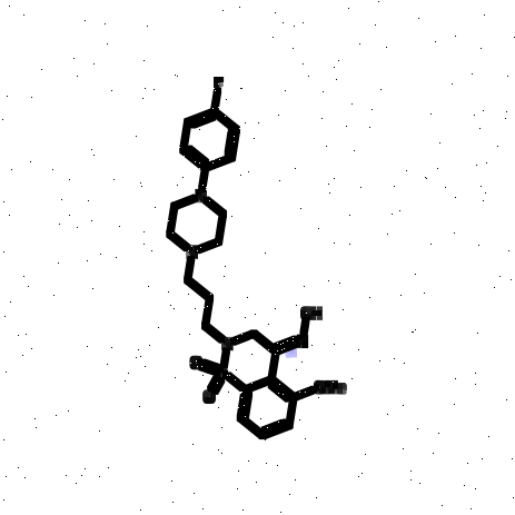 COc1cccc2c1/C(=N/O)CN(CCCN1CCN(c3ccc(F)cc3)CC1)S2(=O)=O